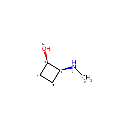 CN[C@H]1CC[C@H]1O